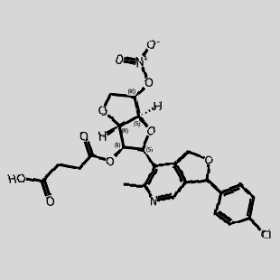 Cc1ncc2c(c1[C@@H]1O[C@H]3[C@@H](OC[C@H]3O[N+](=O)[O-])[C@@H]1OC(=O)CCC(=O)O)COC2c1ccc(Cl)cc1